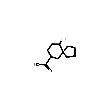 O=C(O)N1CCC(O)C2(CCCC2)C1